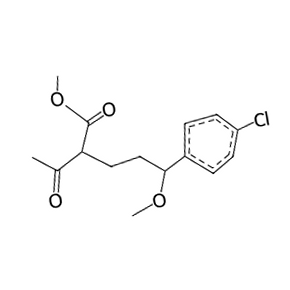 COC(=O)C(CCC(OC)c1ccc(Cl)cc1)C(C)=O